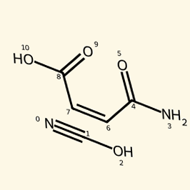 N#CO.NC(=O)/C=C\C(=O)O